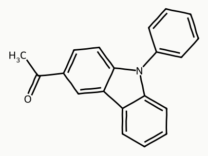 CC(=O)c1ccc2c(c1)c1ccccc1n2-c1ccccc1